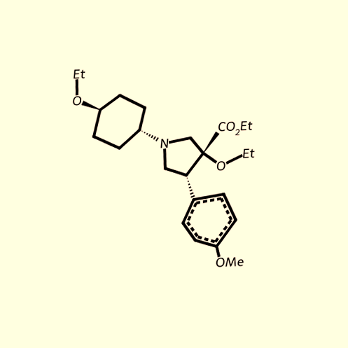 CCOC(=O)[C@]1(OCC)CN([C@H]2CC[C@H](OCC)CC2)C[C@H]1c1ccc(OC)cc1